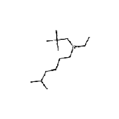 CCN(CCCCC(C)C)CC(C)(C)C